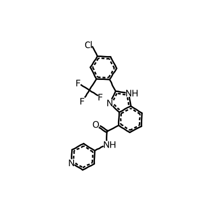 O=C(Nc1ccncc1)c1cccc2[nH]c(-c3ccc(Cl)cc3C(F)(F)F)nc12